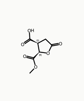 COC(=O)[C@@H]1OC(=O)C[C@@H]1C(=O)O